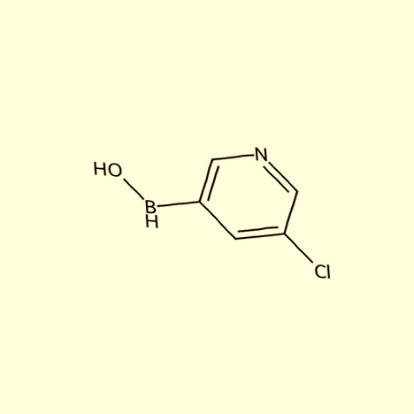 OBc1cncc(Cl)c1